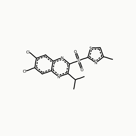 Cc1csc(S(=O)(=O)c2nc3cc(Cl)c(Cl)cc3nc2C(C)C)n1